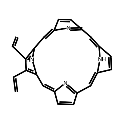 C=Cc1c(C=C)c2cc3nc(cc4ccc(cc5nc(cc1[nH]2)C=C5)[nH]4)C=C3